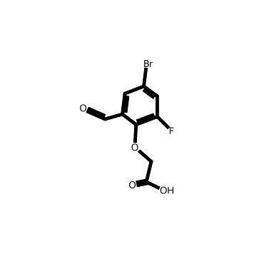 O=Cc1cc(Br)cc(F)c1OCC(=O)O